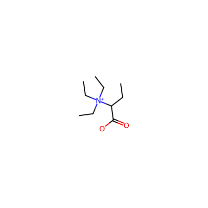 CCC(C(=O)[O-])[N+](CC)(CC)CC